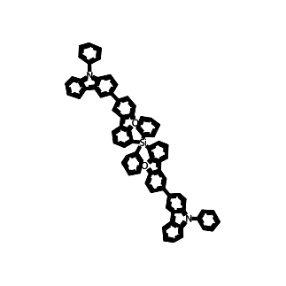 c1ccc(-n2c3ccccc3c3cc(-c4ccc5oc6c([Si](c7ccccc7)(c7ccccc7)c7cccc8c7oc7ccc(-c9ccc%10c(c9)c9ccccc9n%10-c9ccccc9)cc78)cccc6c5c4)ccc32)cc1